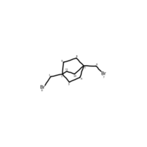 BrCC12CCC(CBr)(CC1)CC2